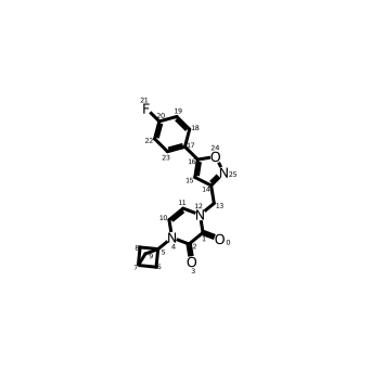 O=c1c(=O)n(C23CC(C2)C3)ccn1Cc1cc(-c2ccc(F)cc2)on1